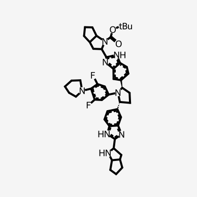 CC(C)(C)OC(=O)N1C(c2nc3cc([C@H]4CC[C@H](c5ccc6[nH]c(C7CC8CCCC8N7)nc6c5)N4c4cc(F)c(N5CCCCC5)c(F)c4)ccc3[nH]2)CC2CCCC21